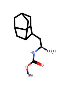 CC(C)(C)OC(=O)N[C@@H](CC1C2CC3CC(C2)CC1C3)C(=O)O